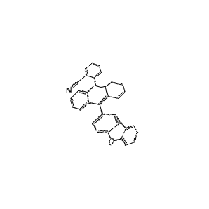 N#Cc1ccccc1-c1c2ccccc2c(-c2ccc3oc4ccccc4c3c2)c2ccccc12